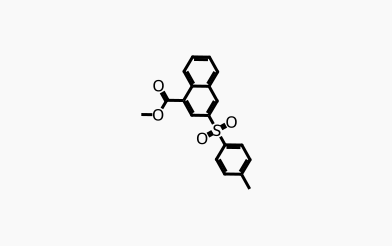 COC(=O)c1cc(S(=O)(=O)c2ccc(C)cc2)cc2ccccc12